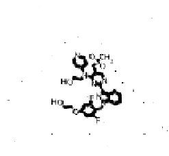 CS(=O)(=O)Cc1cnc(-c2nn(Cc3c(F)cc(OCCO)cc3F)c3ccccc23)nc1N(CCO)c1ccncc1